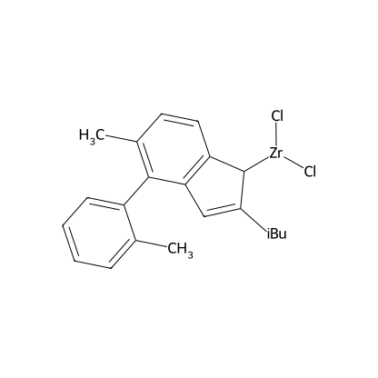 CCC(C)C1=Cc2c(ccc(C)c2-c2ccccc2C)[CH]1[Zr]([Cl])[Cl]